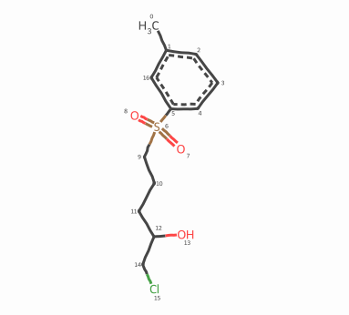 Cc1cccc(S(=O)(=O)CCCC(O)CCl)c1